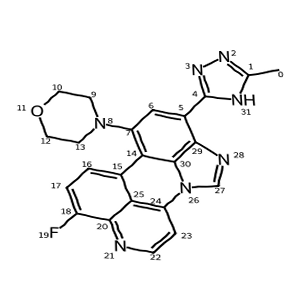 Cc1nnc(-c2cc(N3CCOCC3)c3c4ccc(F)c5nccc(c54)n4cnc2c34)[nH]1